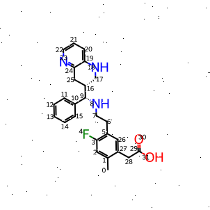 Cc1cc(F)c(CCN[C@H](c2ccccc2)[C@H]2CNc3cccnc3C2)cc1CC(=O)O